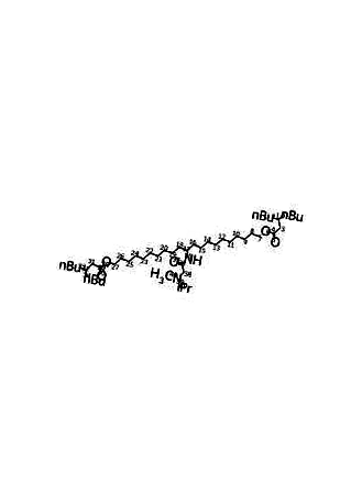 CCCCC(CCCC)CC(=O)OCCCCCCCCCCC(CCCCCCCCCCOC(=O)CC(CCCC)CCCC)NC(=O)CN(C)C(C)C